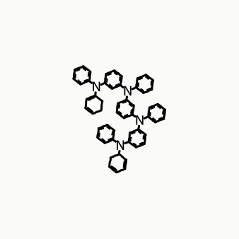 C1=CCCC(N(c2ccccc2)c2cccc(N(c3ccccc3)c3cccc(N(c4ccccc4)c4cccc(N(c5ccccc5)C5C=CC=CC5)c4)c3)c2)=C1